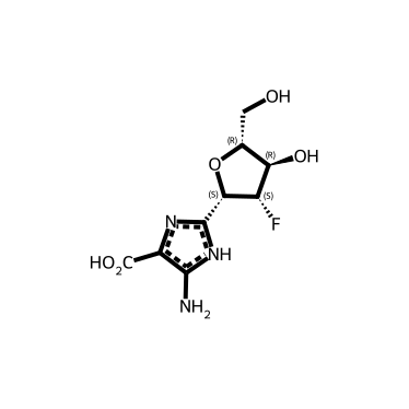 Nc1[nH]c([C@@H]2O[C@H](CO)[C@@H](O)[C@@H]2F)nc1C(=O)O